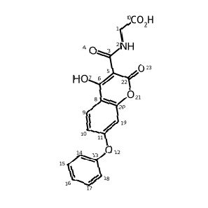 O=C(O)CNC(=O)c1c(O)c2ccc(Oc3ccccc3)cc2oc1=O